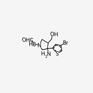 NC1(c2cc(Br)cs2)CN(BC=O)CC1CO